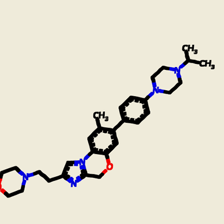 Cc1cc2c(cc1-c1ccc(N3CCN(C(C)C)CC3)cc1)OCc1nc(CCN3CCOCC3)cn1-2